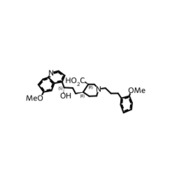 COc1ccc2nccc([C@@H](O)CC[C@@H]3CCN(CCCc4ccccc4OC)C[C@@H]3C(=O)O)c2c1